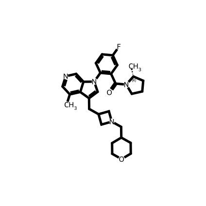 Cc1cncc2c1c(CC1CN(CC3CCOCC3)C1)cn2-c1ccc(F)cc1C(=O)N1CCC[C@H]1C